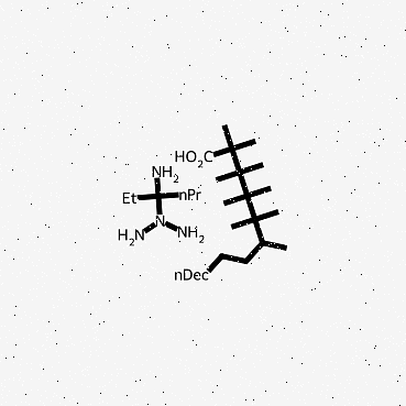 CCCC(N)(CC)N(N)N.CCCCCCCCCCCCC(C)C(C)(C)C(C)(C)C(C)(C)C(C)(C)C(=O)O